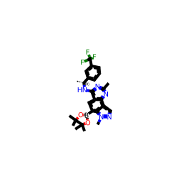 Cc1nc(N[C@H](C)c2cccc(C(F)(F)F)c2)c2cc(B3OC(C)(C)C(C)(C)O3)c3c(cnn3C)c2n1